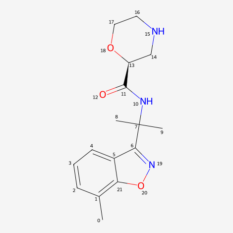 Cc1cccc2c(C(C)(C)NC(=O)[C@@H]3CNCCO3)noc12